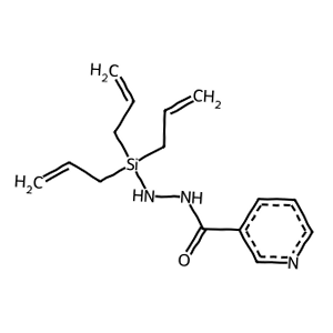 C=CC[Si](CC=C)(CC=C)NNC(=O)c1cccnc1